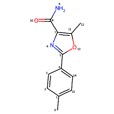 Cc1ccc(-c2nc(C(N)=O)c(C)o2)cc1